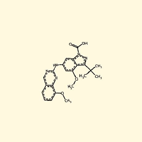 COc1cccc2cnc(Nc3cc(OC)c4c(C(C)(C)C)nn(C(=O)O)c4c3)nc12